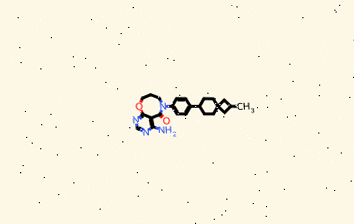 CC1CC2(CCC(c3ccc(N4CCCOc5ncnc(N)c5C4=O)cc3)CC2)C1